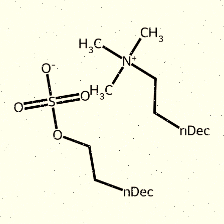 CCCCCCCCCCCCOS(=O)(=O)[O-].CCCCCCCCCCCC[N+](C)(C)C